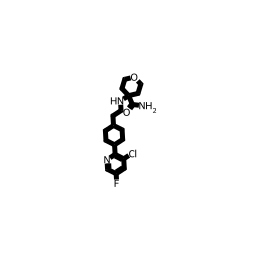 NC(=O)C1(NCCC2CCC(c3ncc(F)cc3Cl)CC2)CCOCC1